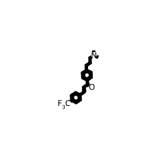 CN(C)CCCc1ccc(C(=O)C=Cc2ccc(C(F)(F)F)cc2)cc1